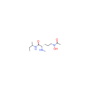 CCC(C)NC(=O)[C@H](CCCN(O)C(C)=O)NC